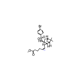 COC(=O)CCC/C=C\C[C@@H]1[C@@H](NS(=O)(=O)c2ccc(Br)cc2)C[C@H]2C[C@@H]1C2(C)C